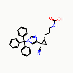 N#C[C@@]1(c2cn(C(c3ccccc3)(c3ccccc3)c3ccccc3)cn2)C[C@H]1CCCNC(=O)O